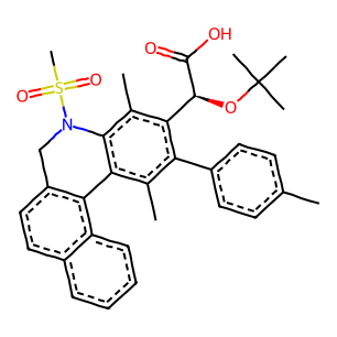 Cc1ccc(-c2c(C)c3c(c(C)c2[C@H](OC(C)(C)C)C(=O)O)N(S(C)(=O)=O)Cc2ccc4ccccc4c2-3)cc1